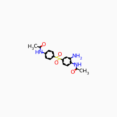 CC(=O)Nc1ccc(S(=O)(=O)c2ccc(NC(C)=O)c(N)c2)cc1